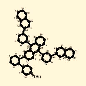 CC(C)(C)c1ccc(-c2ccccc2-c2ccc3c(-c4cccc(-c5ccc6ccccc6c5)c4)c4ccccc4c(-c4cccc(-c5ccc6ccccc6c5)c4)c3c2)cc1